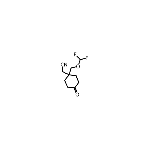 N#CCC1(COC(F)F)CCC(=O)CC1